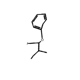 CC(C)C(I)Oc1ccccc1